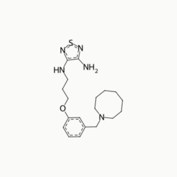 Nc1nsnc1NCCCOc1cccc(CN2CCCCCCC2)c1